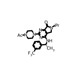 CC(=O)N1CCN(c2nc(N[C@H](C)c3cccc(C(F)(F)F)c3)c3c(n2)C(=O)N(C(C)C)C3)CC1